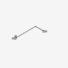 O=C(O)CCCCCCCCCCCCCCCCCCC/C=C\CCCCCCCCO